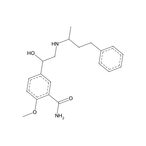 COc1ccc(C(O)CNC(C)CCc2ccccc2)cc1C(N)=O